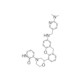 CN(C)c1ccc(CNc2ccc3c(c2)Cc2cccc(C4CN(c5ccc[nH]c5=O)CCO4)c2O3)cn1